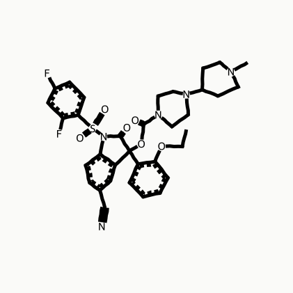 CCOc1ccccc1C1(OC(=O)N2CCN(C3CCN(C)CC3)CC2)C(=O)N(S(=O)(=O)c2ccc(F)cc2F)c2ccc(C#N)cc21